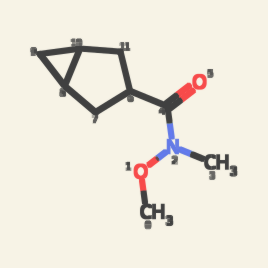 CON(C)C(=O)C1CC2CC2C1